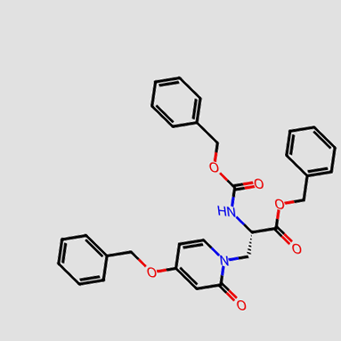 O=C(N[C@@H](Cn1ccc(OCc2ccccc2)cc1=O)C(=O)OCc1ccccc1)OCc1ccccc1